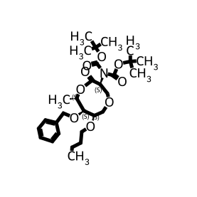 CCCCO[C@H]1COC[C@H](N(C(=O)OC(C)(C)C)C(=O)OC(C)(C)C)C(=O)O[C@@H](C)[C@@H]1OCc1ccccc1